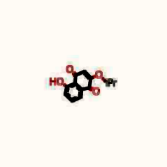 CC(C)OC1=CC(=O)c2c(O)cccc2C1=O